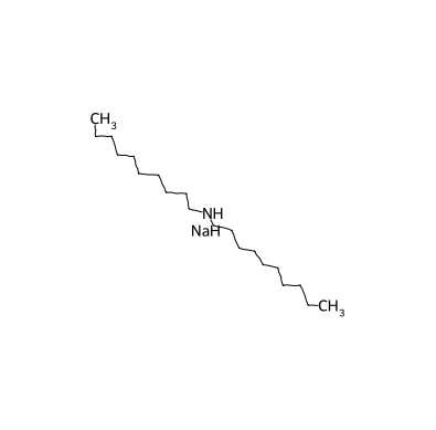 CCCCCCCCCCNCCCCCCCCCC.[NaH]